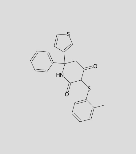 Cc1ccccc1SC1C(=O)CC(c2ccccc2)(c2ccsc2)NC1=O